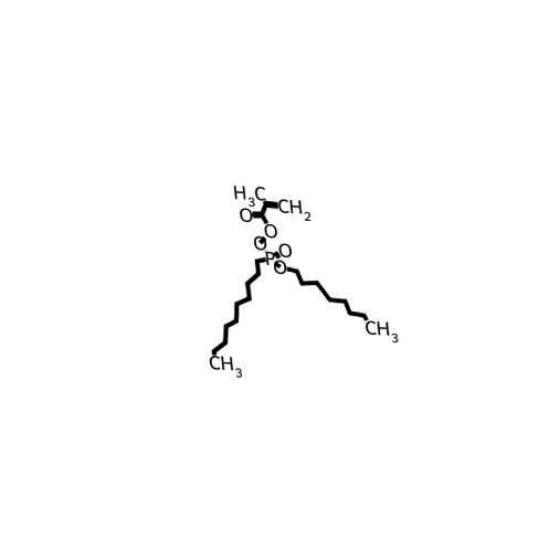 C=C(C)C(=O)OOP(=O)(CCCCCCCCCC)OCCCCCCCC